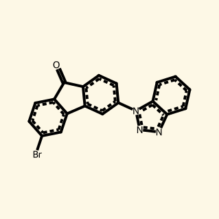 O=C1c2ccc(Br)cc2-c2cc(-n3nnc4ccccc43)ccc21